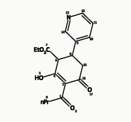 CCCC(=O)C1=C(O)C(C(=O)OCC)C(c2cccnc2)CC1=O